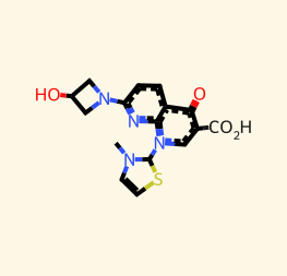 CN1C=CSC1n1cc(C(=O)O)c(=O)c2ccc(N3CC(O)C3)nc21